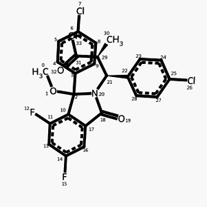 COC1(c2ccc(Cl)cc2)c2c(F)cc(F)cc2C(=O)N1[C@H](c1ccc(Cl)cc1)[C@H](C)C(=O)O